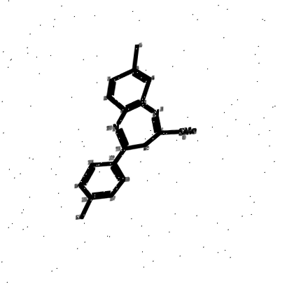 CSC1=Nc2cc(C)ccc2N=C(c2ccc(C)cc2)C1